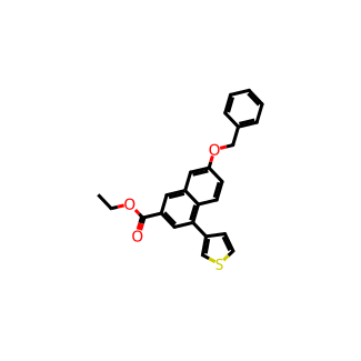 CCOC(=O)c1cc(-c2ccsc2)c2ccc(OCc3ccccc3)cc2c1